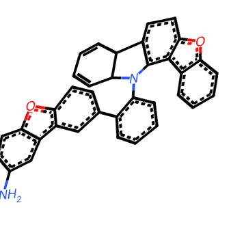 Nc1ccc2oc3ccc(-c4ccccc4N4c5c(ccc6oc7ccccc7c56)C5C=CC=CC54)cc3c2c1